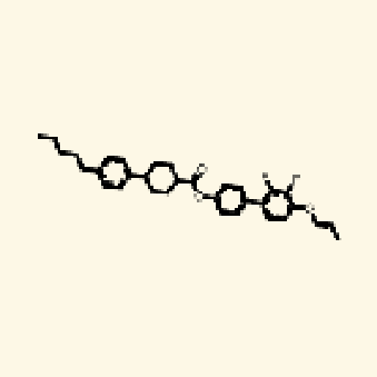 C/C=C/Oc1ccc(-c2ccc(OC(=O)C3CCC(c4ccc(CCCCC)cc4)CC3)cc2)c(F)c1F